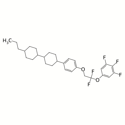 CCCC1CCC(C2CCC(c3ccc(OCC(F)(F)Oc4cc(F)c(F)c(F)c4)cc3)CC2)CC1